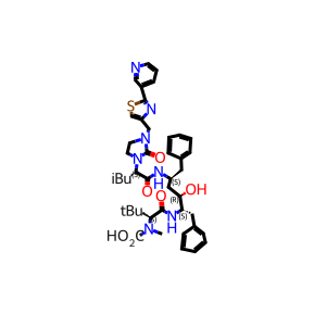 CCC(C)[C@@H](C(=O)N[C@@H](Cc1ccccc1)C[C@@H](O)[C@H](Cc1ccccc1)NC(=O)[C@@H](N(C)C(=O)O)C(C)(C)C)N1CCN(Cc2csc(-c3cccnc3)n2)C1=O